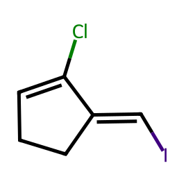 ClC1=CCC/C1=C\I